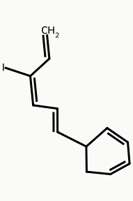 C=C/C(I)=C\C=C\C1C=CC=CC1